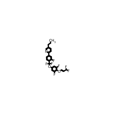 CCCc1ccc(-c2ccc(C(F)(F)Oc3cc(F)c(O/C=C/C(F)F)c(F)c3)c(F)c2)nc1